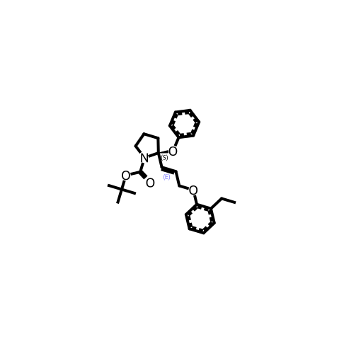 CCc1ccccc1OC/C=C/[C@@]1(Oc2ccccc2)CCCN1C(=O)OC(C)(C)C